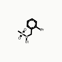 CCN(Cc1ccccc1C(C)C)S(C)(=O)=O